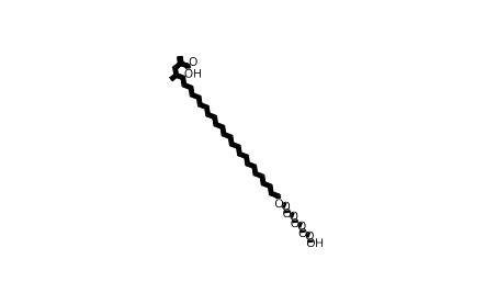 C=C(CC(C)CCCCCCCCCCCCCCCCCCCCCCCCCOOOOOOOOO)C(=O)O